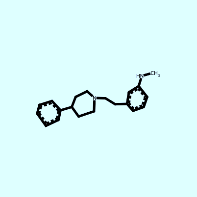 CNc1cccc(CCN2CCC(c3ccccc3)CC2)c1